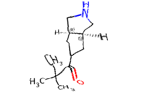 CC(C)(C)C(=O)C1C[C@H]2CNC[C@H]2C1